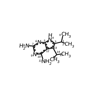 CC(C)c1[nH]c2nc(N)nc(N)c2c1C(C)C